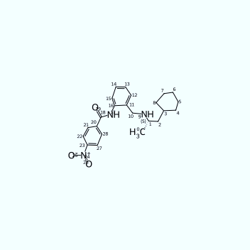 C[C@@H](CC1CCCCC1)NCc1ccccc1NC(=O)c1ccc([N+](=O)[O-])cc1